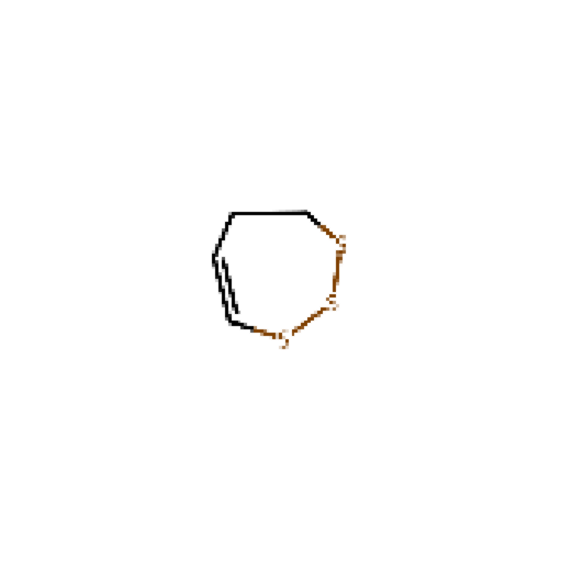 C1=CSSSCC1